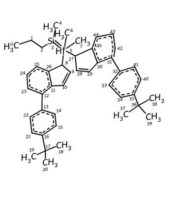 CCC[Si](C)=[Hf]([CH3])([CH3])([CH]1C=Cc2c(-c3ccc(C(C)(C)C)cc3)cccc21)[CH]1C=Cc2c(-c3ccc(C(C)(C)C)cc3)cccc21